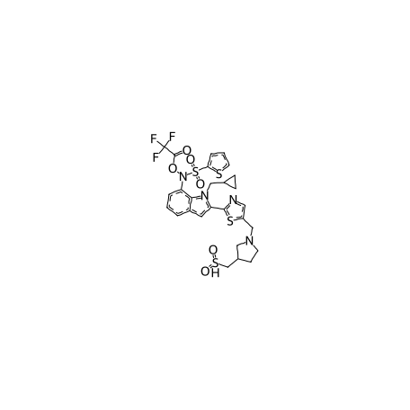 O=C(ON(c1cccc2cc(-c3ncc(CN4CCC(C[SH](=O)=O)C4)s3)n(CC3CC3)c12)S(=O)(=O)c1cccs1)C(F)(F)F